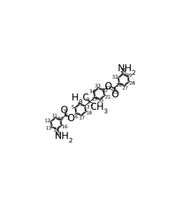 CC(C)(c1ccc(OC(=O)c2cccc(N)c2)cc1)c1ccc(OC(=O)c2cccc(N)c2)cc1